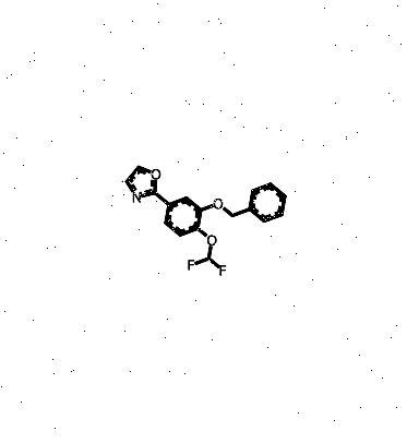 FC(F)Oc1ccc(-c2n[c]co2)cc1OCc1ccccc1